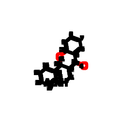 CC(=O)NC=C1C(=O)c2ccccc2OC1c1ccccc1